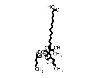 CCCCC(CC)COC(=O)C(CC(CC)CCCC)(C(C)C)C(CCCCCCCCCCCCCC(=O)O)C(C)C